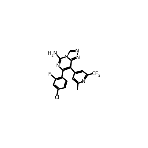 Cc1cc(-c2c(-c3ccc(Cl)cc3F)nc(N)n3cnnc23)cc(C(F)(F)F)n1